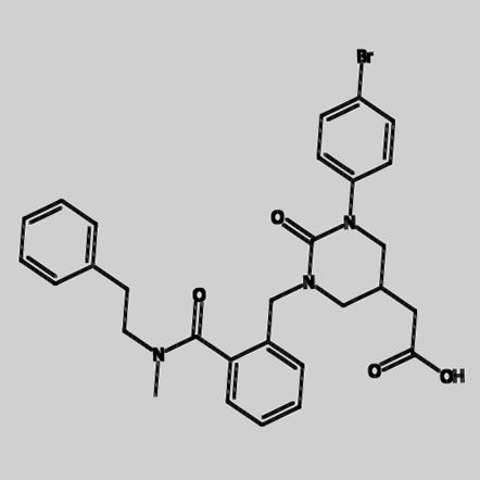 CN(CCc1ccccc1)C(=O)c1ccccc1CN1CC(CC(=O)O)CN(c2ccc(Br)cc2)C1=O